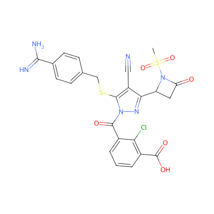 CS(=O)(=O)N1C(=O)CC1c1nn(C(=O)c2cccc(C(=O)O)c2Cl)c(SCc2ccc(C(=N)N)cc2)c1C#N